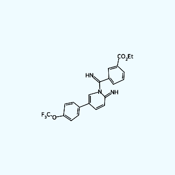 CCOC(=O)c1cccc(C(=N)n2cc(-c3ccc(OC(F)(F)F)cc3)ccc2=N)c1